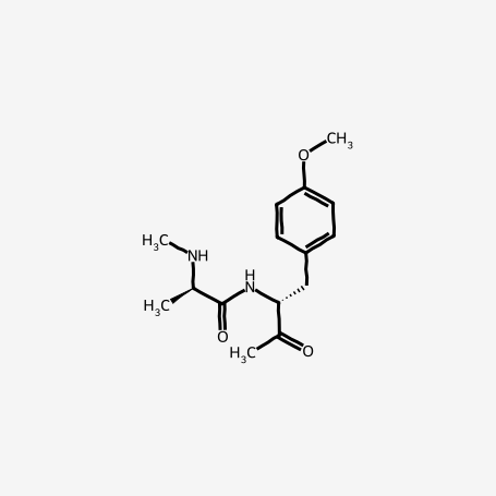 CN[C@H](C)C(=O)N[C@H](Cc1ccc(OC)cc1)C(C)=O